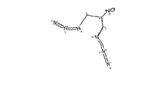 [N-]=[N+]=NCC(CN=[N+]=[N-])N=O